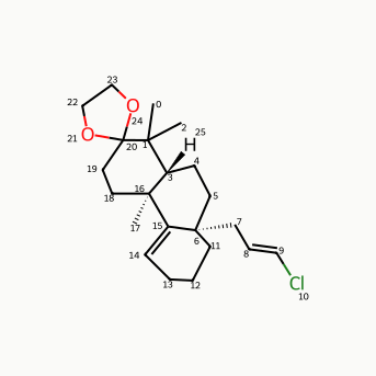 CC1(C)[C@@H]2CC[C@@]3(CC=CCl)CCCC=C3[C@@]2(C)CCC12OCCO2